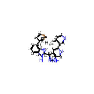 Cc1ccncc1-c1cc2c(-c3nc4c(-c5ccsc5)cccc4[nH]3)n[nH]c2cn1